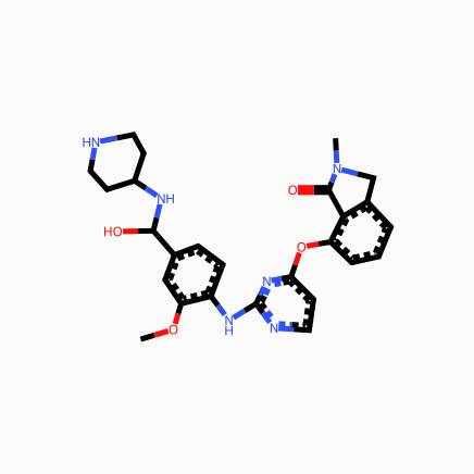 COc1cc(C(O)NC2CCNCC2)ccc1Nc1nccc(Oc2cccc3c2C(=O)N(C)C3)n1